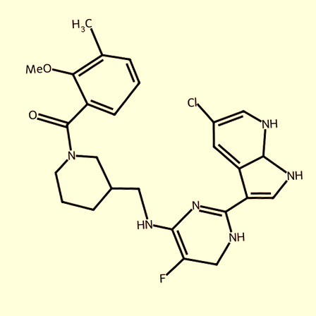 COc1c(C)cccc1C(=O)N1CCCC(CNC2=C(F)CNC(C3=CNC4NC=C(Cl)C=C34)=N2)C1